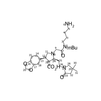 CCCCN(CCCCN)C(=O)CN1C[C@H](c2ccc3c(c2)OCO3)[C@@H](C(=O)O)[C@@H]1CCN1CC(C)(C)CC1=O